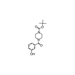 CC(C)(C)OC(=O)N1CCN(C(=O)c2cccc(O)c2)CC1